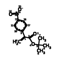 C=C(C(=O)OC(C)(C)C)c1ccc([N+](=O)[O-])cc1